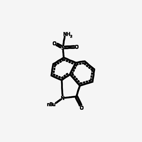 CCCCN1C(=O)c2cccc3c(S(N)(=O)=O)ccc1c23